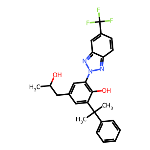 CC(O)Cc1cc(-n2nc3ccc(C(F)(F)F)cc3n2)c(O)c(C(C)(C)c2ccccc2)c1